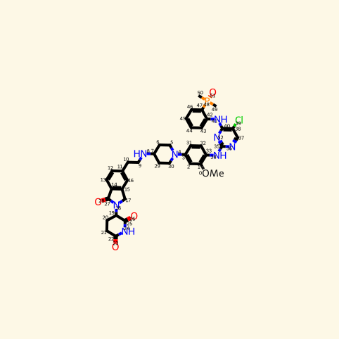 COc1cc(N2CCC(NCCc3ccc4c(c3)CN(C3CCC(=O)NC3=O)C4=O)CC2)ccc1Nc1ncc(Cl)c(Nc2ccccc2P(C)(C)=O)n1